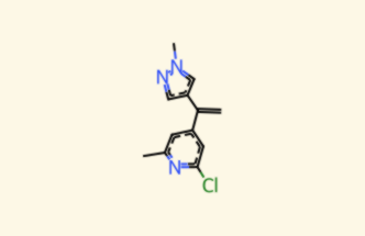 C=C(c1cc(C)nc(Cl)c1)c1cnn(C)c1